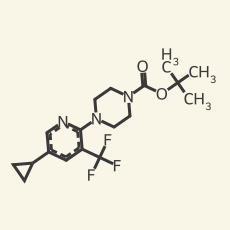 CC(C)(C)OC(=O)N1CCN(c2ncc(C3CC3)cc2C(F)(F)F)CC1